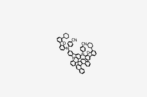 N#Cc1ccc(N(c2ccc3c(c2)c2cc(N(c4ccc(C#N)cc4)c4cccc5c4oc4c(C6CCCCC6)cccc45)cc4c2n3-c2ccccc2C42c3ccc4ccccc4c3-c3c2ccc2ccccc32)c2cccc3c2oc2c(C4CCCCC4)cccc23)cc1